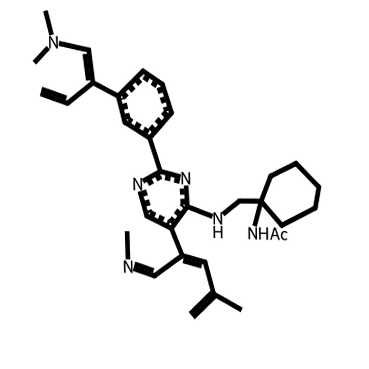 C=C/C(=C\N(C)C)c1cccc(-c2ncc(C(/C=N\C)=C/C(=C)C)c(NCC3(NC(C)=O)CCCCC3)n2)c1